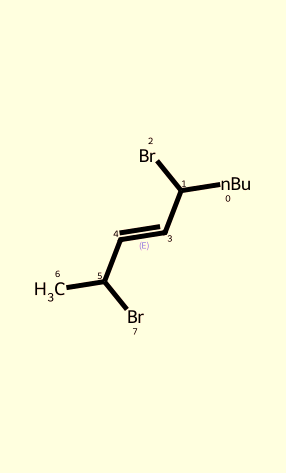 CCCCC(Br)/C=C/C(C)Br